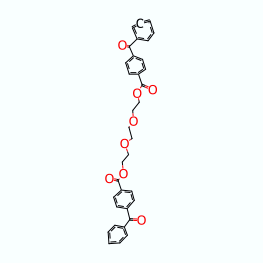 O=C(OCCOCCOCCOC(=O)c1ccc(C(=O)c2ccccc2)cc1)c1ccc(C(=O)c2ccccc2)cc1